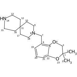 CC1(C)COc2c(CN3CCC4(CCNCC4)CC3)cccc2O1